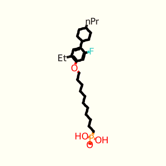 CCCC1CCC(c2cc(CC)c(OCCCCCCCCCCCP(=O)(O)O)cc2F)CC1